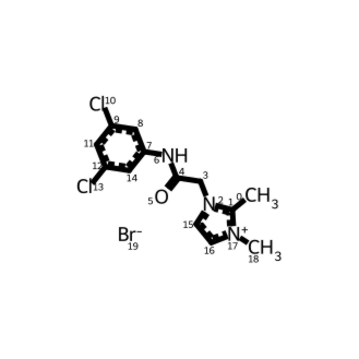 Cc1n(CC(=O)Nc2cc(Cl)cc(Cl)c2)cc[n+]1C.[Br-]